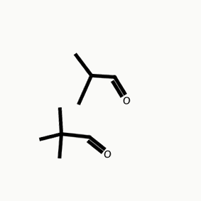 CC(C)(C)C=O.CC(C)C=O